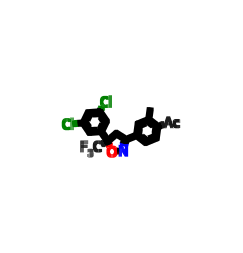 CC(=O)c1ccc(C2=NOC(c3cc(Cl)cc(Cl)c3)(C(F)(F)F)C2)cc1C